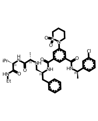 CCNC(=O)[C@@H](NC(=O)[C@H](C)NC[C@H](Cc1ccccc1)NC(=O)c1cc(C(=O)N[C@H](C)c2cccc(Cl)c2)cc(N2CCCCS2(=O)=O)c1)C(C)C